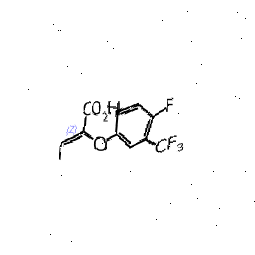 C/C=C(\Oc1ccc(F)c(C(F)(F)F)c1)C(=O)O